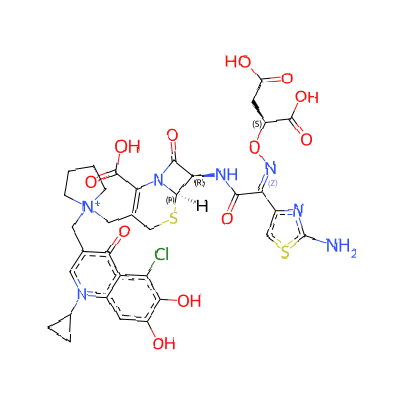 Nc1nc(/C(=N/O[C@@H](CC(=O)O)C(=O)O)C(=O)N[C@@H]2C(=O)N3C(C(=O)O)=C(C[N+]4(Cc5cn(C6CC6)c6cc(O)c(O)c(Cl)c6c5=O)CCCC4)CS[C@H]23)cs1